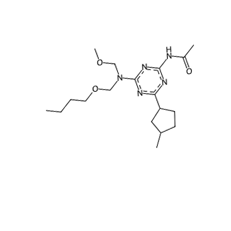 CCCCOCN(COC)c1nc(NC(C)=O)nc(C2CCC(C)C2)n1